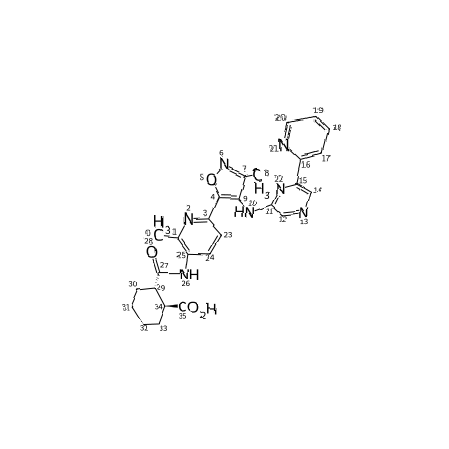 Cc1nc(-c2onc(C)c2Nc2cncc(-c3ccccn3)n2)ccc1NC(=O)[C@H]1CCCC[C@@H]1C(=O)O